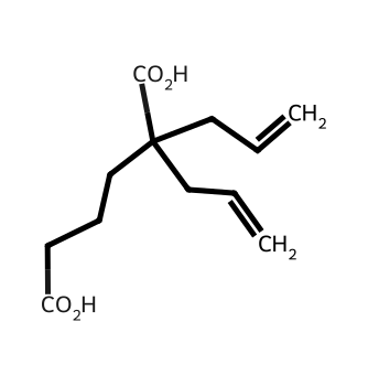 C=CCC(CC=C)(CCCC(=O)O)C(=O)O